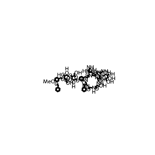 COc1ccc(COC2C(CO)OC(OC3C(CO)OC(Oc4ccc(CC5NC(=O)C(C(C)c6ccccc6)NC(=O)CNC(=O)C(CO)NC(=O)C(C(O)C6CNC(=N)N6C6OC(CO)C(O)C(O)C6O)NC(=O)C(C(O)C6CNC(=N)N6)NC5=O)cc4)C(O)C3O)C(O)C2O)cc1OCc1ccccc1